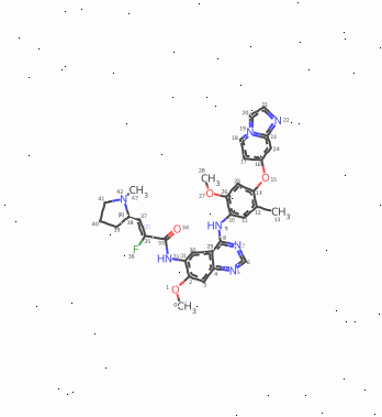 COc1cc2ncnc(Nc3cc(C)c(Oc4ccn5ccnc5c4)cc3OC)c2cc1NC(=O)/C(F)=C/[C@H]1CCCN1C